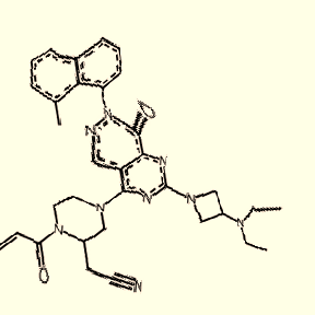 C=CC(=O)N1CCN(c2nc(N3CC(N(CC)CC)C3)nc3c(=O)n(-c4cccc5cccc(C)c45)ncc23)CC1CC#N